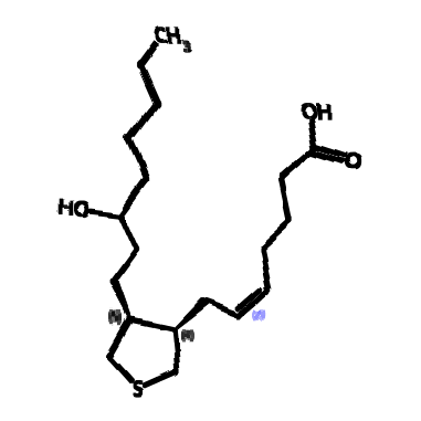 CCCCCC(O)CC[C@@H]1CSC[C@@H]1C/C=C\CCCC(=O)O